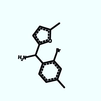 Cc1ccc(C(N)c2ccc(C)o2)c(Br)c1